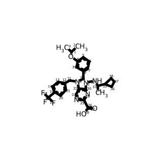 CC(C)Oc1cccc(C2N(Cc3ccc(C(F)(F)F)cc3)c3cnc(C(=O)O)nc3N2NC(C)C2CCC2)c1